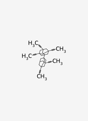 CC#CC12CC3CC(C#CC)(C1)CC(C14CC5(C#CC)CC(C#CC)(CC(C#CC)(C5)C1)C4)(C3)C2